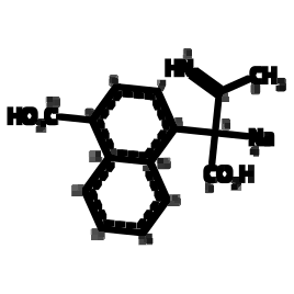 CC(=N)[C]([Na])(C(=O)O)c1ccc(C(=O)O)c2ccccc12